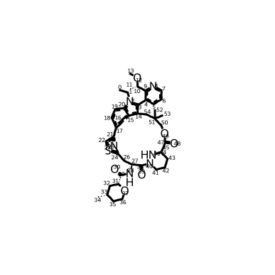 CCn1c(-c2cccnc2[C@H](C)OC)c2c3cc(ccc31)-c1csc(n1)C[C@H](NC(=O)[C@H]1C[C@@H](C)CCO1)C(=O)N1CCC[C@@](C)(N1)C(=O)OCC(C)(C)C2